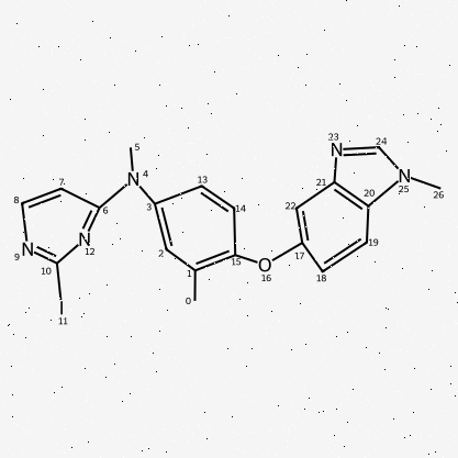 Cc1cc(N(C)c2ccnc(I)n2)ccc1Oc1ccc2c(c1)ncn2C